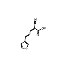 N#CC(=CC=Cc1ccsc1)C(=O)O